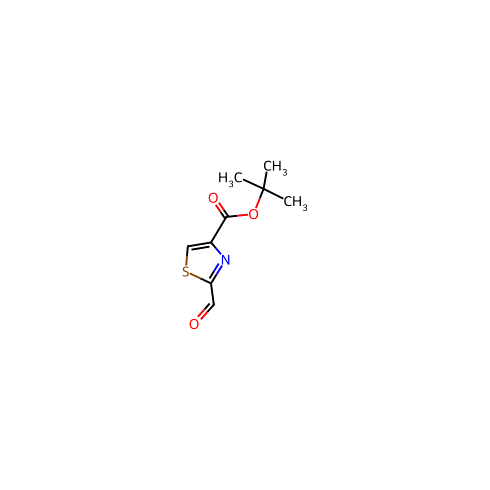 CC(C)(C)OC(=O)c1csc(C=O)n1